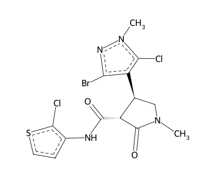 CN1C[C@H](c2c(Br)nn(C)c2Cl)[C@@H](C(=O)Nc2ccsc2Cl)C1=O